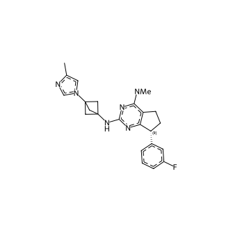 CNc1nc(NC23CC(n4cnc(C)c4)(C2)C3)nc2c1CC[C@@H]2c1cccc(F)c1